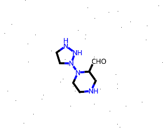 O=CC1CNCCN1N1CCNN1